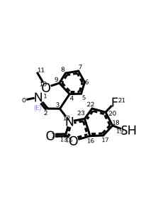 C/N=C/C(c1ccccc1OC)n1c(=O)oc2cc(S)c(F)cc21